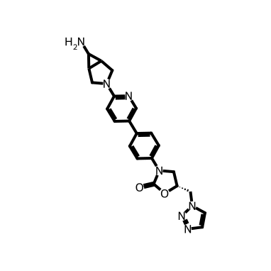 NC1C2CN(c3ccc(-c4ccc(N5C[C@H](Cn6ccnn6)OC5=O)cc4)cn3)CC12